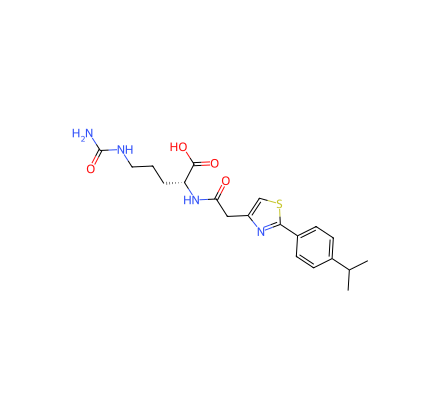 CC(C)c1ccc(-c2nc(CC(=O)N[C@H](CCCNC(N)=O)C(=O)O)cs2)cc1